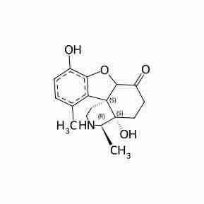 Cc1ccc(O)c2c1[C@]13CCN[C@H](C)[C@]1(O)CCC(=O)C3O2